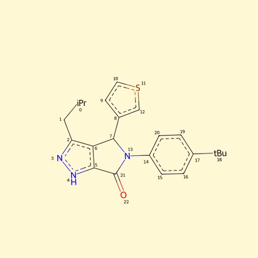 CC(C)Cc1n[nH]c2c1C(c1ccsc1)N(c1ccc(C(C)(C)C)cc1)C2=O